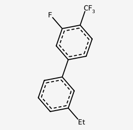 CCc1cccc(-c2ccc(C(F)(F)F)c(F)c2)c1